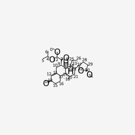 COC(OC(C)C)C(=O)[C@@H]1CC2=CC(=O)CC[C@]2(C)C2CC[C@@]3(C)[C@@H](CC[C@@]34CCC(=O)O4)[C@@H]21